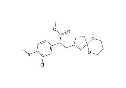 COC(=O)C(CC1CCC2(C1)OCCCO2)c1ccc(SC)c(Cl)c1